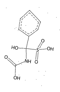 O=C(O)NC(O)(c1ccccc1)S(=O)(=O)O